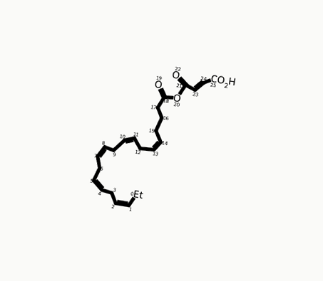 CC/C=C\C/C=C\C/C=C\C/C=C\C/C=C\CCCC(=O)OC(=O)/C=C/C(=O)O